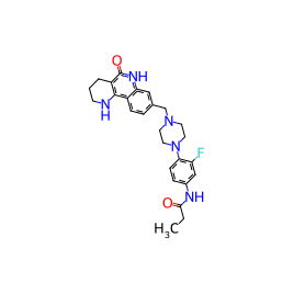 CCC(=O)Nc1ccc(N2CCN(Cc3ccc4c5c(c(=O)[nH]c4c3)CCCN5)CC2)c(F)c1